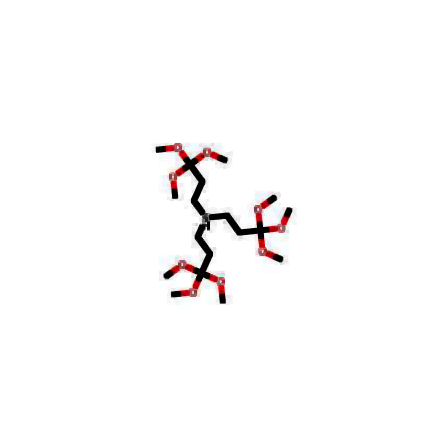 COC(CC[SiH](CCC(OC)(OC)OC)CCC(OC)(OC)OC)(OC)OC